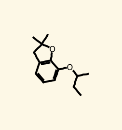 CCC(C)Oc1cccc2c1OC(C)(C)C2